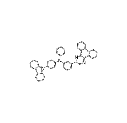 c1ccc(N(c2ccc(-n3c4ccccc4c4ccccc43)cc2)c2cccc(-c3cnc4c5ccccc5c5ccccc5c4n3)c2)cc1